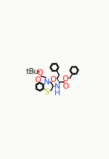 CC(C)(C)OC(=O)CN1C(=O)[C@@H](N[C@@H](CCc2ccccc2)C(=O)OCc2ccccc2)CSc2ccccc21